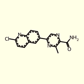 Cc1nc(-c2ccc3nc(Cl)ccc3c2)cnc1C(N)=O